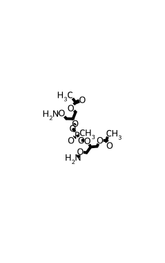 CC(=O)OCC(CON)OOP(C)(=O)OOC(CON)COC(C)=O